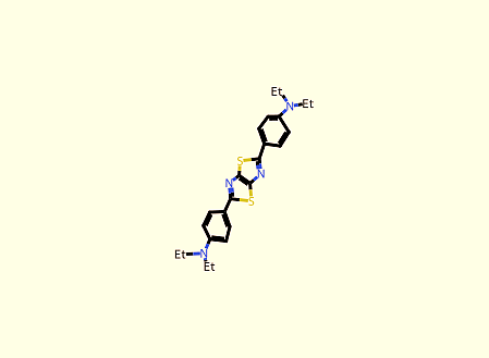 CCN(CC)c1ccc(-c2nc3sc(-c4ccc(N(CC)CC)cc4)nc3s2)cc1